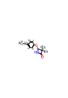 CCC1(CC)C(=O)N[C@H]1Oc1ccc(C(C)=O)cc1